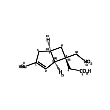 CCCCC1=C[C@H]2[C@@H](C1)C[C@]2(CC(=O)O)C[N+](=O)[O-]